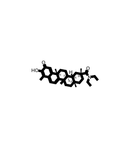 CCN(CC)C(=O)[C@]1(C)CC[C@]2(C)CCC3(C)C4=CC=C5C(=CC(=O)C(O)=C5C)[C@]4(C)CC[C@@]3(C)[C@@H]2C1